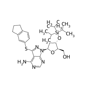 CC(C)[Si](O[C@H]1C[C@H](n2nc(Sc3ccc4c(c3)CCC4)c3c(N)ncnc32)O[C@@H]1CO)(C(C)C)C(C)C